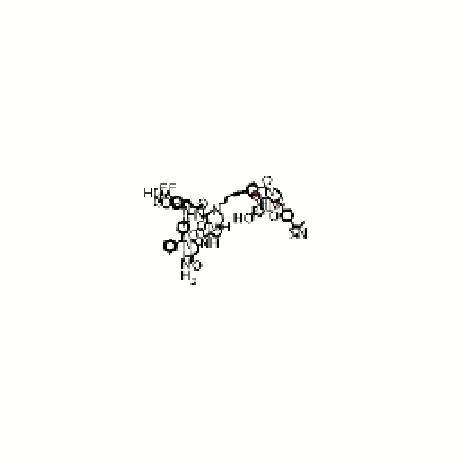 Cc1ncsc1-c1ccc([C@H](C)NC(=O)[C@@H]2C[C@@H](O)CN2C(=O)C2CCCCN2C(=O)c2ccc(C#CCCCN3CC[C@H]4CC[C@@H](C(=O)NC(CCC(N)=O)C(=O)NC(c5ccccc5)c5ccccc5)N4C(=O)[C@@H](NC(=O)c4cc5cc(C(F)(F)P(=O)(O)O)ccc5[nH]4)C3)cc2)cc1